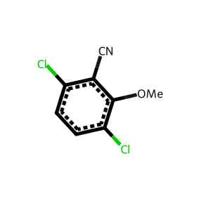 COc1c(Cl)ccc(Cl)c1C#N